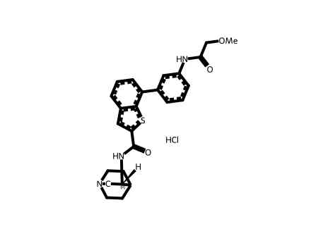 COCC(=O)Nc1cccc(-c2cccc3cc(C(=O)N[C@H]4CN5CCC4CC5)sc23)c1.Cl